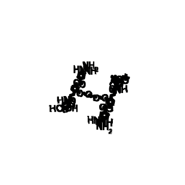 CC(C)(C)OC(=O)CC(NC(=O)CCc1ccc(OC(=O)c2ccc(NC(=N)N)cc2)cc1OCCOCCOCCOc1cc(OC(=O)c2ccc(NC(=N)N)cc2)ccc1CCC(=O)NC(CC(=O)O)C(=O)O)C(=O)OC(C)(C)C